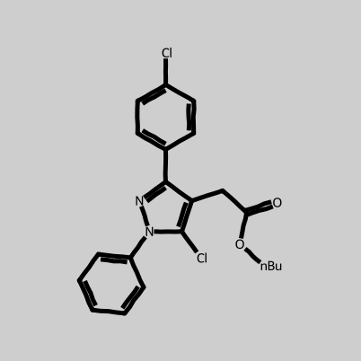 CCCCOC(=O)Cc1c(-c2ccc(Cl)cc2)nn(-c2ccccc2)c1Cl